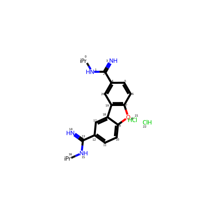 CC(C)NC(=N)c1ccc2oc3ccc(C(=N)NC(C)C)cc3c2c1.Cl.Cl